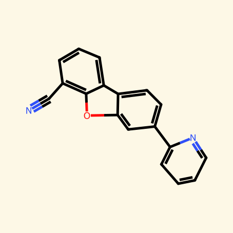 N#Cc1cccc2c1oc1cc(-c3ccccn3)ccc12